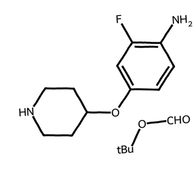 CC(C)(C)OC=O.Nc1ccc(OC2CCNCC2)cc1F